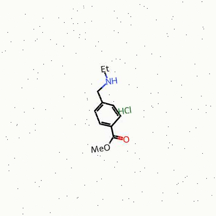 CCNCc1ccc(C(=O)OC)cc1.Cl